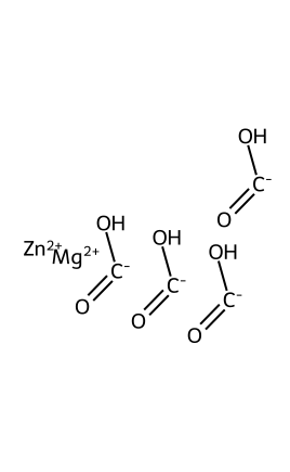 O=[C-]O.O=[C-]O.O=[C-]O.O=[C-]O.[Mg+2].[Zn+2]